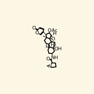 CC(=O)O[C@H]1[C@H]2O[C@]23[C@@H]2CC[C@]4(O)C[C@@H](NC(=O)C5CCCN5C)CC[C@]4(C)[C@H]2CC[C@]3(C)[C@H]1c1ccc(=O)oc1